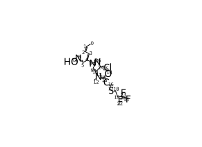 C\C=C/C=C(\C=N\O)n1cc(N(C)C(=O)CCSCCC(F)(F)F)c(Cl)n1